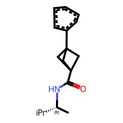 CC(C)[C@@H](C)NC(=O)C12CC(c3ccccc3)(C1)C2